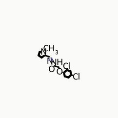 Cn1cccc1/C=N/NC(=O)COc1ccc(Cl)cc1Cl